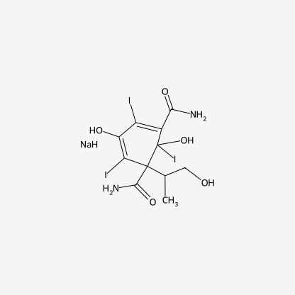 CC(CO)C1(C(N)=O)C(I)=C(O)C(I)=C(C(N)=O)C1(O)I.[NaH]